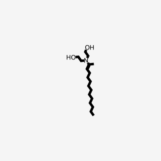 CCCCCCCCCCC/C=C(\C)N(CCO)CCO